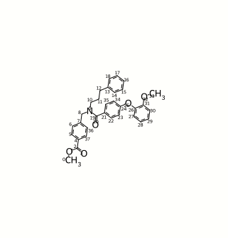 COC(=O)c1ccc(CN(CCCc2ccccc2)C(=O)c2ccc(Oc3ccccc3OC)cc2)cc1